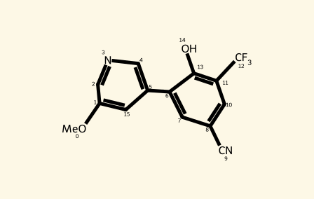 COc1cncc(-c2cc(C#N)cc(C(F)(F)F)c2O)c1